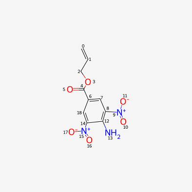 C=CCOC(=O)c1cc([N+](=O)[O-])c(N)c([N+](=O)[O-])c1